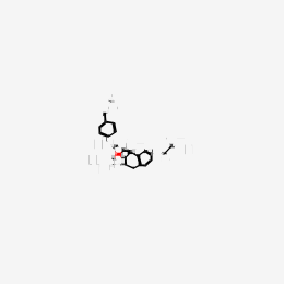 CCOC(=O)c1ccc(NC(=O)N(C)C2C3Cc4ccc(OC(=O)C(C)C)cc4[C@@]2(C)CCN3C)cc1